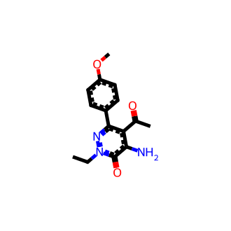 CCn1nc(-c2ccc(OC)cc2)c(C(C)=O)c(N)c1=O